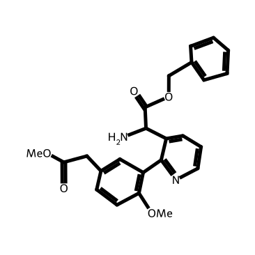 COC(=O)Cc1ccc(OC)c(-c2ncccc2C(N)C(=O)OCc2ccccc2)c1